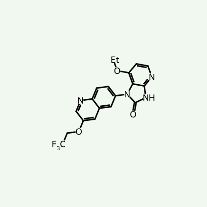 CCOc1ccnc2[nH]c(=O)n(-c3ccc4ncc(OCC(F)(F)F)cc4c3)c12